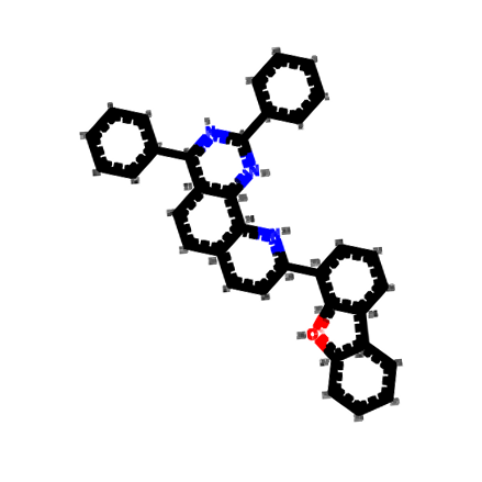 c1ccc(-c2nc(-c3ccccc3)c3ccc4ccc(-c5cccc6c5oc5ccccc56)nc4c3n2)cc1